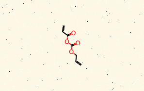 C=CCOC(=O)OC(=O)C=C